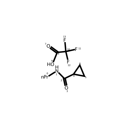 CCCNC(=O)C1CC1.O=C(O)C(F)(F)F